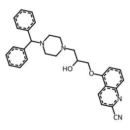 N#Cc1ccc2c(OCC(O)CN3CCN(C(c4ccccc4)c4ccccc4)CC3)cccc2n1